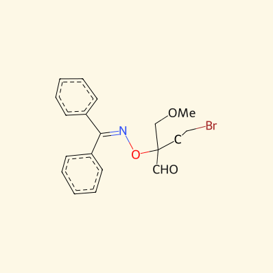 COCC(C=O)(CCBr)ON=C(c1ccccc1)c1ccccc1